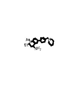 CCC1CC(N)c2cc(-c3ccc(CN4CCCCC4)cc3)ccc2N1C(C)=O